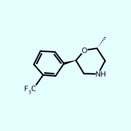 C[C@@H]1CNC[C@@H](c2cccc(C(F)(F)F)c2)O1